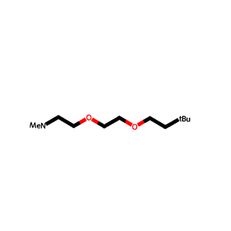 CNCCOCCOCCC(C)(C)C